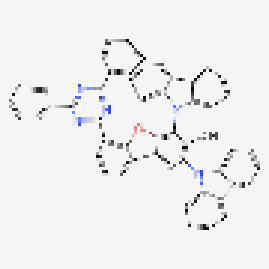 N#Cc1c(-n2c3ccccc3c3ccccc32)cc2c(oc3c(-c4nc(-c5ccccc5)nc(-c5ccccc5)n4)cccc32)c1-n1c2ccccc2c2ccccc21